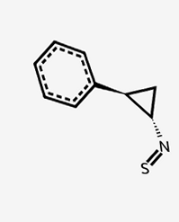 S=N[C@H]1C[C@@H]1c1ccccc1